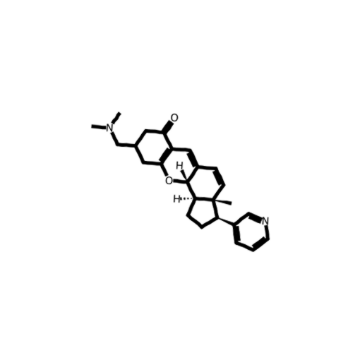 CN(C)CC1CC(=O)C2=C(C1)O[C@@H]1C(=C2)C=C[C@]2(C)[C@@H](c3cccnc3)CC[C@@H]12